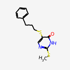 CSc1ncc(SCCCc2ccccc2)c(=O)[nH]1